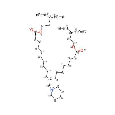 CCCCCC(CCCCC)CCOC(=O)CCCCCCCCCC(CCCCCCCC(=O)OCCC(CCCCC)CCCCC)CN1CCCCC1